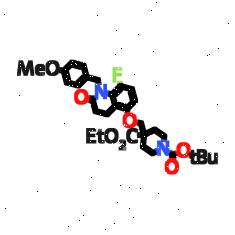 CCOC(=O)C1(COc2ccc(F)c3c2CCC(=O)N3Cc2ccc(OC)cc2)CCN(C(=O)OC(C)(C)C)CC1